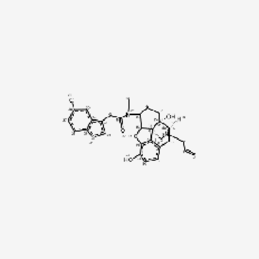 C=CCN1CC[C@]23c4c5ccc(O)c4OC2C(N(C)C(=O)Cc2csc4ccc(Cl)cc24)CC[C@@]3(O)[C@H]1C5